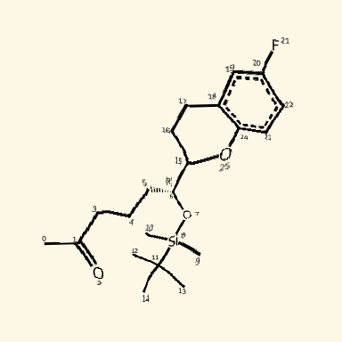 CC(=O)CCC[C@@H](O[Si](C)(C)C(C)(C)C)C1CCc2cc(F)ccc2O1